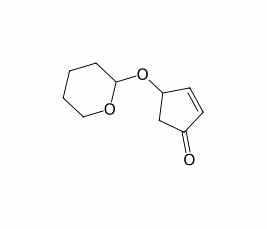 O=C1C=CC(OC2CCCCO2)C1